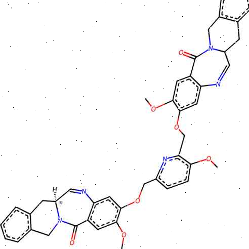 COc1cc2c(cc1OCc1ccc(OC)c(COc3cc4c(cc3OC)C(=O)N3Cc5ccccc5CC3C=N4)n1)N=C[C@@H]1Cc3ccccc3CN1C2=O